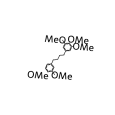 COc1ccc(CCCCc2cc(OC)c(OC)c(OC)c2)cc1OC